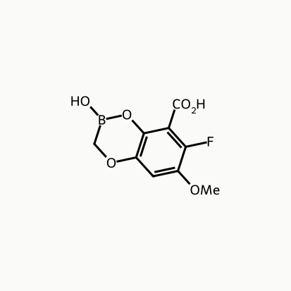 COc1cc2c(c(C(=O)O)c1F)OB(O)CO2